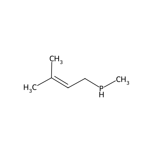 CPCC=C(C)C